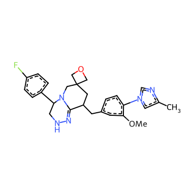 COc1cc(CC2CC3(COC3)CN3C2=NNCC3c2ccc(F)cc2)ccc1-n1cnc(C)c1